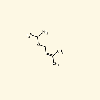 CC(C)=CCOC(P)P